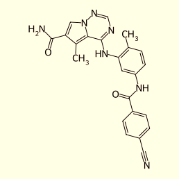 Cc1ccc(NC(=O)c2ccc(C#N)cc2)cc1Nc1ncnn2cc(C(N)=O)c(C)c12